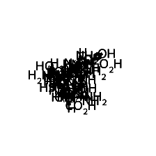 CC[C@H](C)[C@H](NC(=O)[C@@H]1C[C@@H](O)CN1C(=O)[C@@H](N)C(C)C)C(=O)N[C@H](C(=O)N[C@@H](Cc1ccc(O)cc1)C(=O)N[C@@H](CO)C(=O)N[C@@H](CCC(=O)O)C(=O)N[C@@H](CCCNC(=N)N)C(=O)N[C@@H](CCN)C(=O)N[C@H](C(=O)N[C@H](CCN)C(=O)N[C@@H](CCCCN)C(=O)N[C@@H](CCN)C(=O)N[C@@H](CCN)C(=O)N[C@@H](CS)C(=O)N[C@@H](Cc1ccc(O)cc1)C(=O)O)[C@@H](C)O)C(C)(C)S